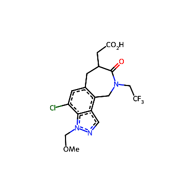 COCn1ncc2c3c(cc(Cl)c21)CC(CC(=O)O)C(=O)N(CC(F)(F)F)C3